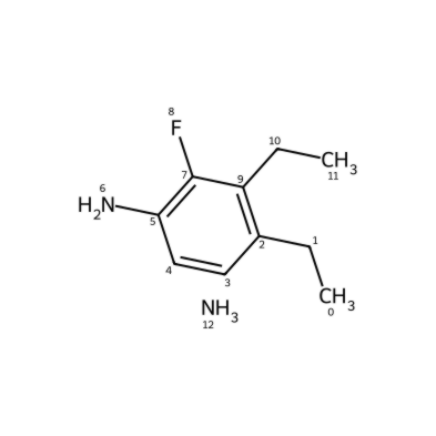 CCc1ccc(N)c(F)c1CC.N